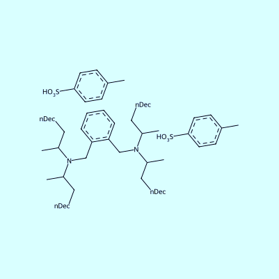 CCCCCCCCCCCC(C)N(Cc1ccccc1CN(C(C)CCCCCCCCCCC)C(C)CCCCCCCCCCC)C(C)CCCCCCCCCCC.Cc1ccc(S(=O)(=O)O)cc1.Cc1ccc(S(=O)(=O)O)cc1